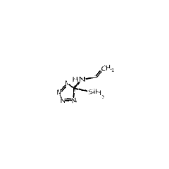 C=CNC1([SiH3])N=NN=N1